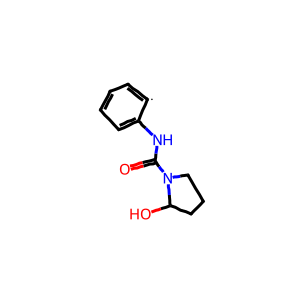 O=C(Nc1[c]cccc1)N1CCCC1O